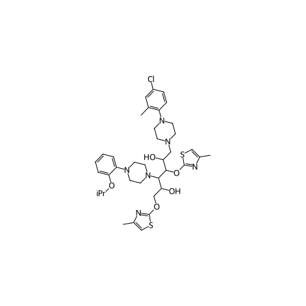 Cc1csc(OCC(O)C(C(Oc2nc(C)cs2)C(O)CN2CCN(c3ccc(Cl)cc3C)CC2)N2CCN(c3ccccc3OC(C)C)CC2)n1